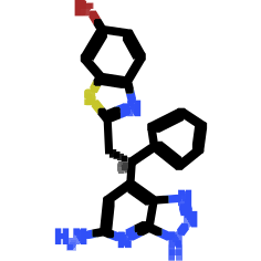 Nc1cc([C@H](Cc2nc3ccc(Br)cc3s2)c2ccccc2)c2nn[nH]c2n1